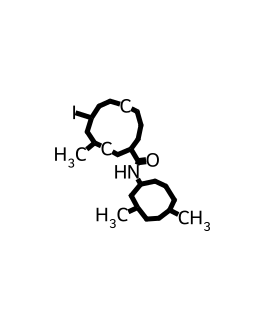 CC1CCCC(NC(=O)C2CCCCCCC(I)CC(C)CC2)CC(C)CC1